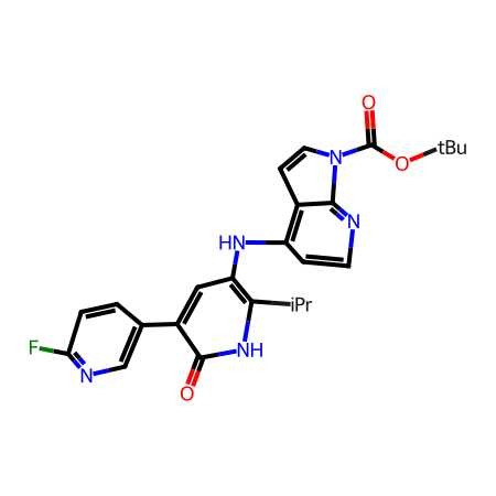 CC(C)c1[nH]c(=O)c(-c2ccc(F)nc2)cc1Nc1ccnc2c1ccn2C(=O)OC(C)(C)C